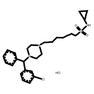 Cl.O=S(=O)(CCCCCCN1CCN(C(c2ccccc2)c2cccc(Cl)c2)CC1)NC1CC1